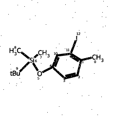 Cc1ccc(O[Si](C)(C)C(C)(C)C)cc1I